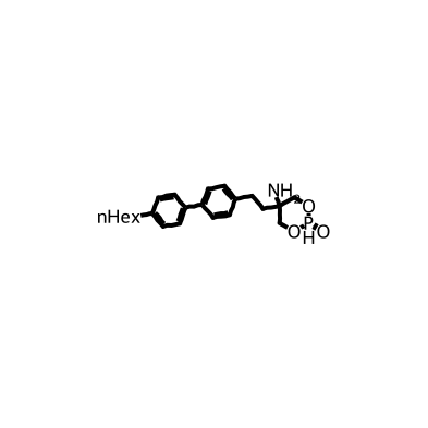 CCCCCCc1ccc(-c2ccc(CCC3(N)CO[PH](=O)OC3)cc2)cc1